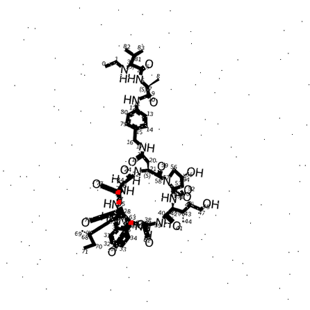 CCN[C@H](C(=O)N[C@@H](C)C(=O)Nc1ccc(CNC(=O)C[C@@H]2NC(=O)[C@@H]3CSc4[nH]c5ccccc5c4C[C@H](NC(=O)[C@H]([C@@H](C)[C@@H](O)CO)N[C@@]4(C=O)C[C@@H](O)CN4C2=O)C(=O)NCC(=O)N[C@@H]([C@@H](C)CC)C(=O)NCC(=O)N3)cc1)C(C)C